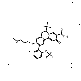 COCCCOc1cc2c(cc1-c1ccccc1OC(F)(F)F)-c1cc(=O)c(C(=O)O)cn1C(C(C)(C)C)C2